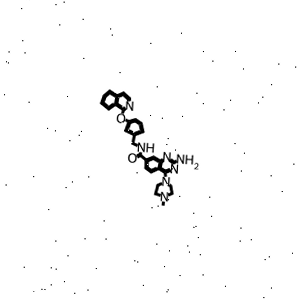 CN1CCN(c2nc(N)nc3cc(C(=O)NCc4cccc(Oc5nccc6ccccc56)c4)ccc23)CC1